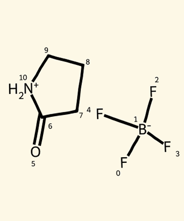 F[B-](F)(F)F.O=C1CCC[NH2+]1